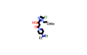 CCN(CC)C1CCN(C(=O)CC(O)c2ncc(Cl)n2CCOC)CC1